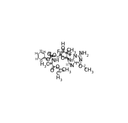 CCOc1nc(N)nc2c1ncn2[C@@H]1O[C@](F)(CO[P@@](=O)(NC(C)C(=O)OC(C)C)Oc2ccccc2)[C@@H](O)[C@@]1(C)F